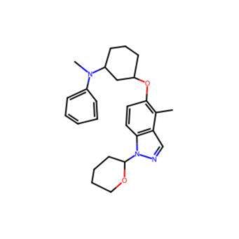 Cc1c(OC2CCCC(N(C)c3ccccc3)C2)ccc2c1cnn2C1CCCCO1